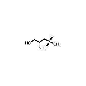 CS(=O)(=O)C[C@H](N)CO